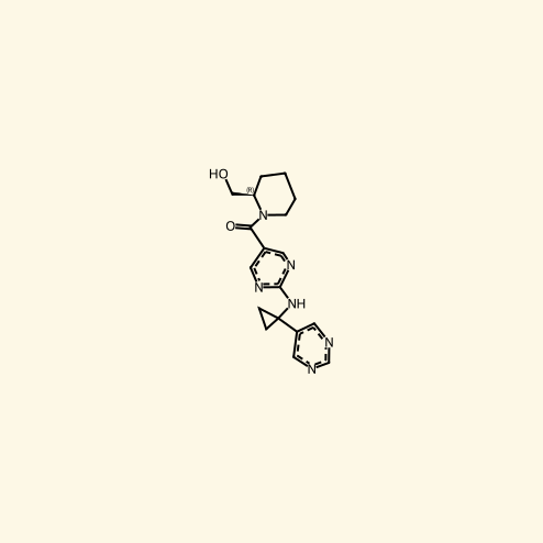 O=C(c1cnc(NC2(c3cncnc3)CC2)nc1)N1CCCC[C@@H]1CO